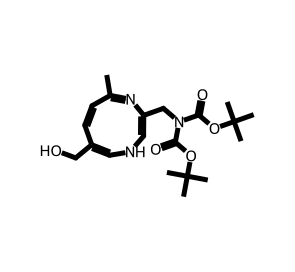 Cc1ccc(CO)c[nH]cc(CN(C(=O)OC(C)(C)C)C(=O)OC(C)(C)C)n1